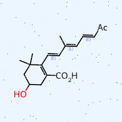 CC(=O)/C=C/C=C(C)/C=C/C1=C(C(=O)O)CC(O)CC1(C)C